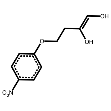 O=[N+]([O-])c1ccc(OCCC(O)=CO)cc1